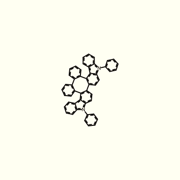 c1ccc(-n2c3ccccc3c3c4c(ccc32)-c2ccc3c(c2-c2ccccc2-c2ccccc2-4)c2ccccc2n3-c2ccccc2)cc1